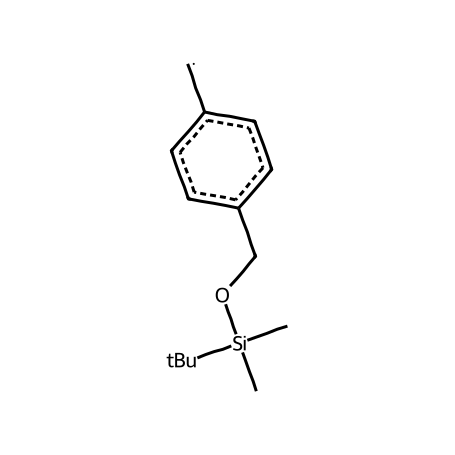 [CH2]c1ccc(CO[Si](C)(C)C(C)(C)C)cc1